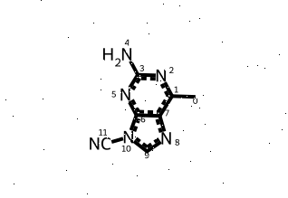 Cc1nc(N)nc2c1ncn2C#N